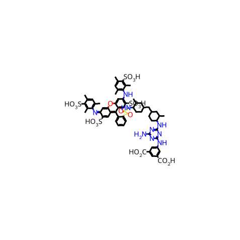 Cc1cc(C)c(S(=O)(=O)O)c(C)c1/N=c1\cc2oc3cc(Nc4c(C)cc(C)c(S(=O)(=O)O)c4C)c(S(=O)(=O)O)cc3c(-c3ccccc3S(=O)(=O)NC3CCC(CC4CCC(Nc5nc(N)nc(Nc6cc(C(=O)O)cc(C(=O)O)c6)n5)C(C)C4)CC3C)c-2cc1S(=O)(=O)O